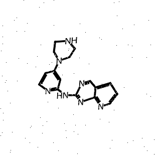 c1cnc2nc(Nc3cc(N4CCNCC4)ccn3)ncc2c1